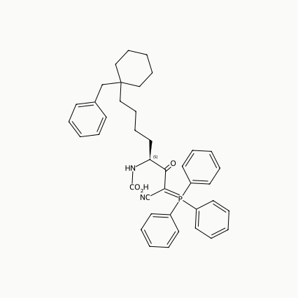 N#CC(C(=O)[C@H](CCCCC1(Cc2ccccc2)CCCCC1)NC(=O)O)=P(c1ccccc1)(c1ccccc1)c1ccccc1